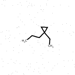 [CH2]CCC1(CC)CC1